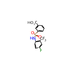 O=C(O)c1cccc(S(=O)(=O)Nc2ccc(F)cc2C(F)(F)F)c1